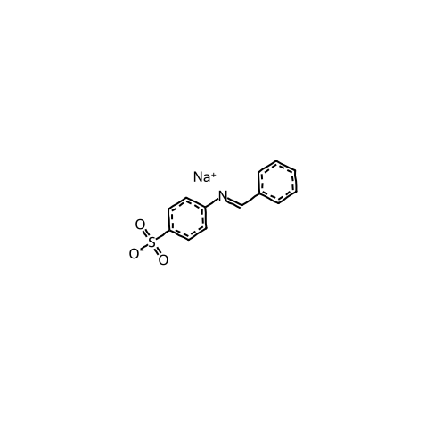 O=S(=O)([O-])c1ccc(N=Cc2ccccc2)cc1.[Na+]